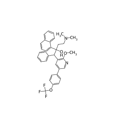 COc1ncc(-c2ccc(OC(F)(F)F)cc2)cc1C(c1ccccc1)C(O)(CCN(C)C)c1cccc2ccccc12